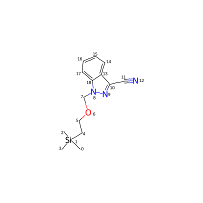 C[Si](C)(C)CCOCn1nc(C#N)c2ccccc21